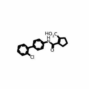 O=C(O)C1=C(C(=O)Nc2ccc(-c3ccccc3Cl)cc2)CCC1